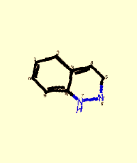 C1=CCC2=CC[N]NC2=C1